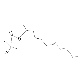 CCCCCCCCCC(C)OC(=O)C(C)(C)Br